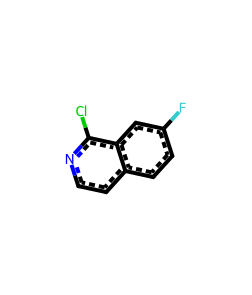 Fc1ccc2ccnc(Cl)c2c1